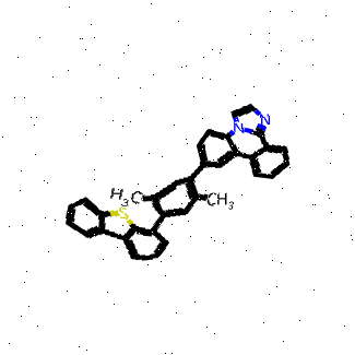 Cc1cc(-c2cccc3c2sc2ccccc23)c(C)cc1-c1ccc2c(c1)c1ccccc1c1nccn21